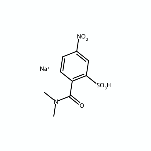 CN(C)C(=O)c1ccc([N+](=O)[O-])cc1S(=O)(=O)O.[Na+]